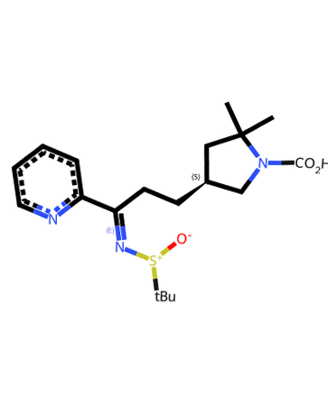 CC1(C)C[C@H](CC/C(=N\[S+]([O-])C(C)(C)C)c2ccccn2)CN1C(=O)O